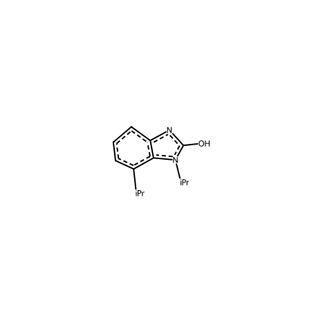 CC(C)c1cccc2nc(O)n(C(C)C)c12